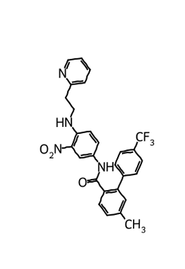 Cc1ccc(C(=O)Nc2ccc(NCCc3ccccn3)c([N+](=O)[O-])c2)c(-c2ccc(C(F)(F)F)cc2)c1